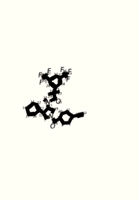 C#CC1CCC(C(=O)N2CC(c3ccccc3)C(N(C)C(=O)C(C)(C)c3cc(C(F)(F)F)cc(C(F)(F)F)c3)C2)CC1